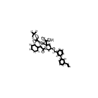 C=Cc1cccc(-c2cccc(CO[C@H]3CN(C(=O)[C@@H](NC(=O)OC(C)(C)C)C4CCCCC4)[C@](C)(C(=O)O)C3)c2)c1